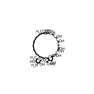 COC(=O)[C@H]1[C@@H]2C[C@@H](O[C@@H]3O[C@H](C)[C@@H](O)[C@H](N)[C@@H]3O)/C=C/C=C/C=C/C=C/C=C/C=C/C=C/[C@H](C)[C@@H](O)[C@@H](C)[C@H](C)OC(=O)C[C@H](O)C[C@H](O)CC[C@@H](O)[C@H](O)C[C@H](O)C[C@](O)(C[C@@H]1O)O2